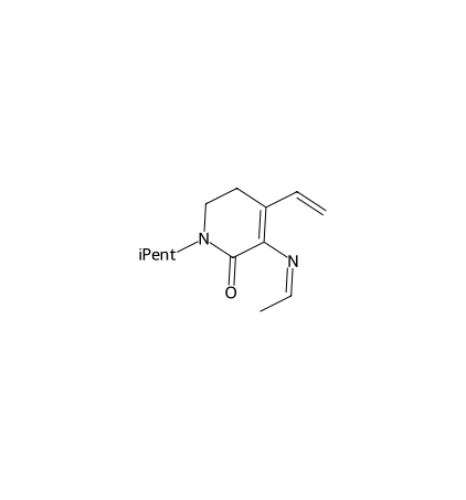 C=CC1=C(/N=C\C)C(=O)N(C(C)CCC)CC1